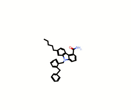 CCCCCc1c[c]c2c3c(C(N)=O)cccc3n(Cc3ccccc3Cc3ccccc3)c2c1